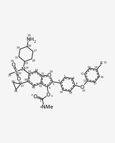 CNC(=O)Oc1c(-c2ccc(Oc3ccc(F)cc3)cc2)oc2cc(N(C3CCC(N)CC3)S(C)(=O)=O)c(C3CC3)cc12